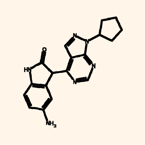 Nc1ccc2c(c1)C(c1ncnc3c1cnn3C1CCCC1)C(=O)N2